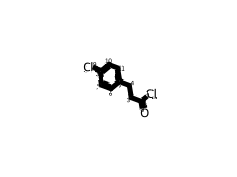 O=C(Cl)CCc1ccc(Cl)cc1